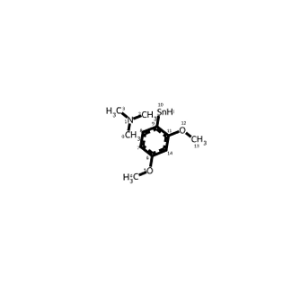 CN(C)C.COc1cc[c]([SnH])c(OC)c1